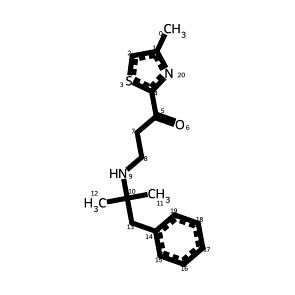 Cc1csc(C(=O)CCNC(C)(C)Cc2ccccc2)n1